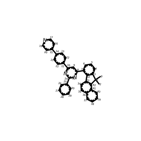 CC1(C)c2cccc(-c3cc(-c4ccc(-c5ccncc5)cc4)nc(-c4ccccc4)n3)c2-c2ccc3ccccc3c21